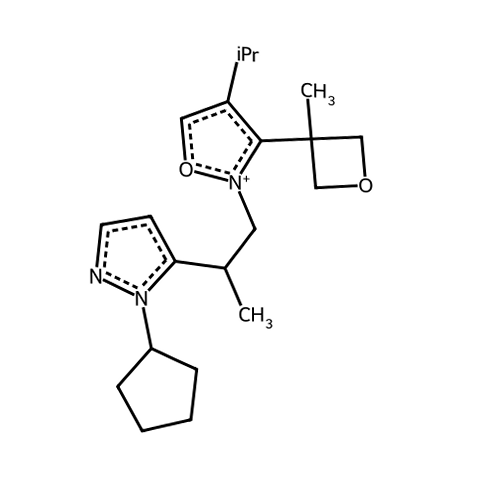 CC(C)c1co[n+](CC(C)c2ccnn2C2CCCC2)c1C1(C)COC1